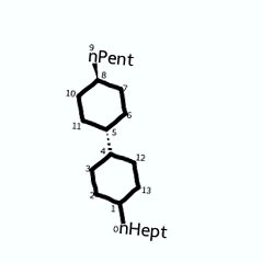 CCCCCCCC1CCC([C@H]2CC[C@H](CCCCC)CC2)CC1